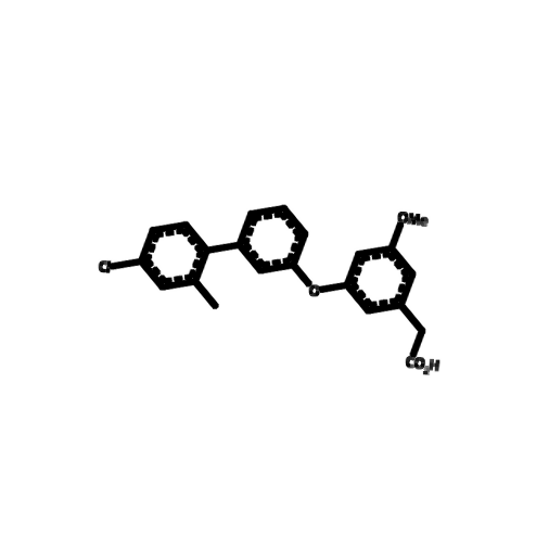 COc1cc(CC(=O)O)cc(Oc2cccc(-c3ccc(Cl)cc3C)c2)c1